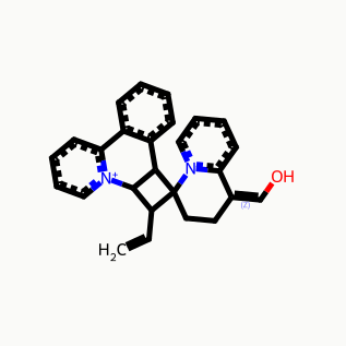 C=CC1C2C(c3ccccc3-c3cccc[n+]32)C12CC/C(=C/O)c1cccc[n+]12